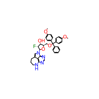 COc1ccc(C(OC[C@H]2O[C@@H](n3cc4c5c(ncnc53)NCCC4)[C@H](F)[C@@H]2O)(c2ccccc2)c2ccc(OC)cc2)cc1